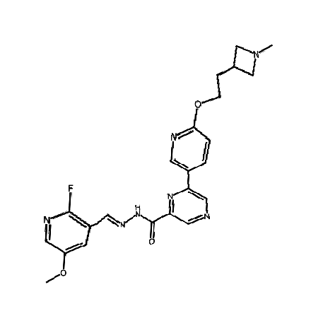 COc1cnc(F)c(/C=N/NC(=O)c2cncc(-c3ccc(OCCC4CN(C)C4)nc3)n2)c1